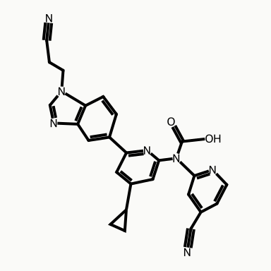 N#CCCn1cnc2cc(-c3cc(C4CC4)cc(N(C(=O)O)c4cc(C#N)ccn4)n3)ccc21